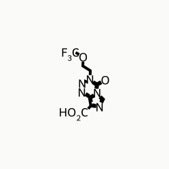 O=C(O)c1ncn2c(=O)n(CCOC(F)(F)F)nnc12